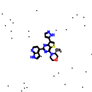 C[C@@H]1COCCN1c1nc(-c2ccnc3[nH]ccc23)nc2c(-c3ccn[nH]3)csc12